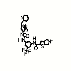 CN1Cc2cc(C(=O)Nc3cc(NC(=O)[N-]c4c[n+](Cc5ccccn5)no4)cc(C(F)(F)F)c3)sc2C1